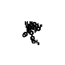 CN1CCC(C2C=CC(C(=O)NC(=N)c3nc(Sc4cc(F)ccc4F)ccc3N)=C(NC3CCOCC3)C2)CC1